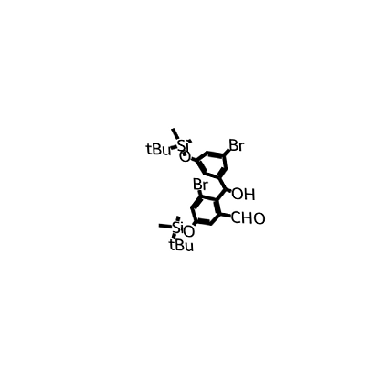 CC(C)(C)[Si](C)(C)Oc1cc(Br)cc(C(O)c2c(Br)cc(O[Si](C)(C)C(C)(C)C)cc2C=O)c1